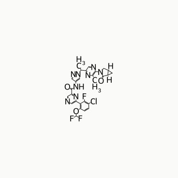 Cc1nc(C(C)n2cc(NC(=O)c3cncc(-c4c(OC(F)F)ccc(Cl)c4F)n3)cn2)cnc1N1C[C@H]2C[C@H]2C1=O